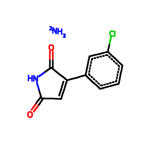 O=C1C=C(c2cccc(Cl)c2)C(=O)N1.[2NH3]